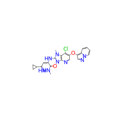 CNC(=O)/C(=C\C(=N)C1CC1)Nc1nc2ncc(Oc3cnn4ccccc34)c(Cl)c2n1C